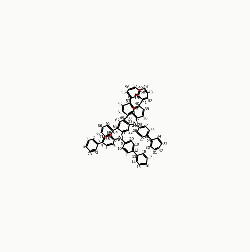 c1ccc(-c2ccc(N(c3ccc(-c4ccccc4)cc3)c3cc(N(c4ccc(-c5ccccc5)cc4)c4ccc(-c5ccccc5)cc4)c(-c4ccc(-c5ccccn5)cc4)cc3-c3ccccc3)cc2)cc1